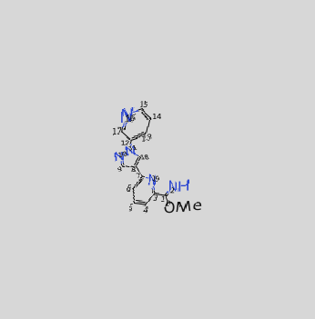 COC(=N)c1cccc(-c2cnn(-c3cccnc3)c2)n1